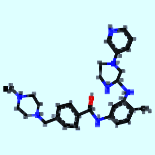 Cc1ccc(NC(=O)c2ccc(CN3CCN(C)CC3)cc2)cc1NC1CN(c2cccnc2)CCN1